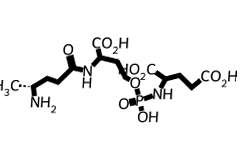 C[C@@H](N)CCC(=O)NC(CCOP(=O)(O)NC(CCC(=O)O)C(=O)O)C(=O)O